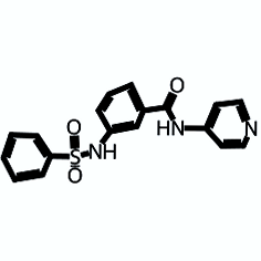 O=C(Nc1ccncc1)c1cccc(NS(=O)(=O)c2ccccc2)c1